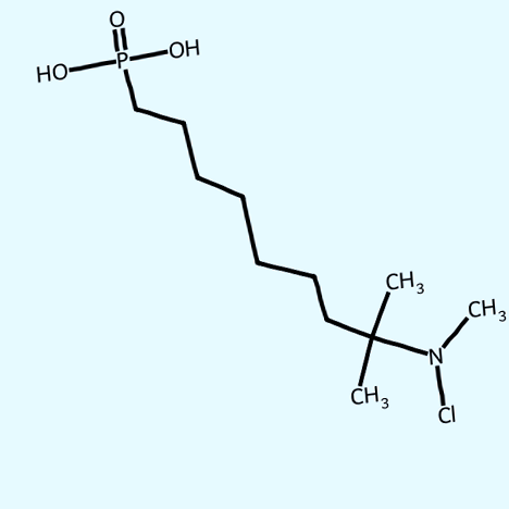 CN(Cl)C(C)(C)CCCCCCCP(=O)(O)O